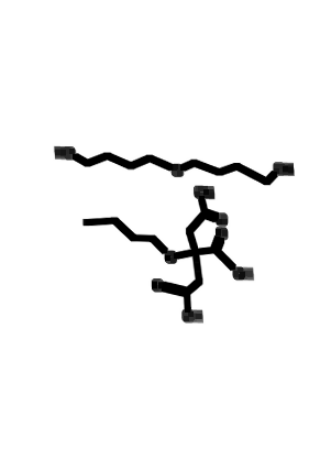 CCCCOC(CC(=O)O)(CC(=O)O)C(=O)O.OCCCCOCCCCO